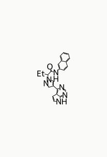 CCC(C(=O)Nc1ccc2ccccc2c1)n1cc(-c2ncnc3[nH]ccc23)cn1